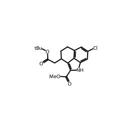 COC(=O)c1[nH]c2cc(Cl)cc3c2c1C(CC(=O)OC(C)(C)C)CC3